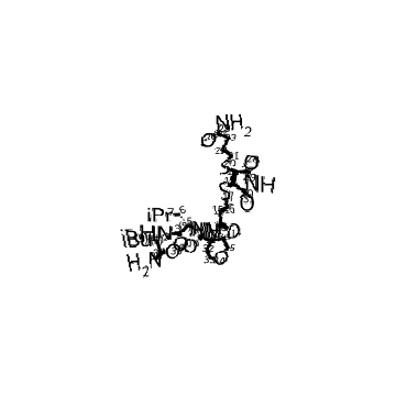 CC[C@H](C)[C@H](NC(=O)[C@H](CC(C)C)NC(=O)C1(NC(=O)CCSC2=C(SCCCC(N)=O)C(=O)NC2=O)CCOCC1)C(N)=O